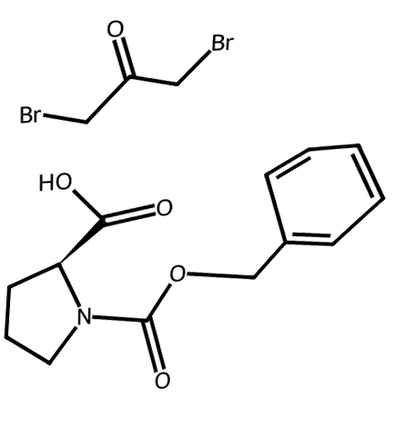 O=C(CBr)CBr.O=C(O)[C@@H]1CCCN1C(=O)OCc1ccccc1